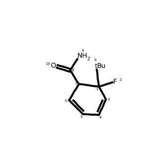 CC(C)(C)C1(F)C=CC=CC1C(N)=O